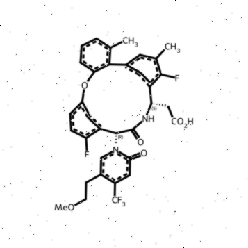 COCCc1cn([C@H]2C(=O)N[C@@H](CC(=O)O)c3cc(cc(C)c3F)-c3c(C)cccc3Oc3ccc(F)c2c3)c(=O)cc1C(F)(F)F